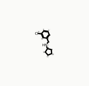 Clc1cccc(CNC2CCCC2)c1